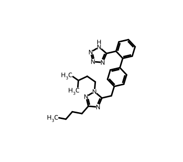 CCCCc1nc(Cc2ccc(-c3ccccc3-c3nnn[nH]3)cc2)n(CCC(C)C)n1